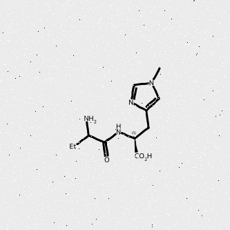 CCC(N)C(=O)N[C@@H](Cc1cn(C)cn1)C(=O)O